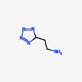 NCCC1N=NN=N1